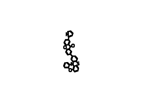 O=c1c2cc(-c3ccc4c(c3)N3c5ccccc5Oc5cccc(c53)S4)ccc2oc2ccc(-c3ccccn3)cc12